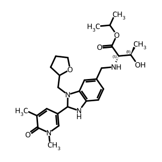 Cc1cc(C2Nc3ccc(CN[C@H](C(=O)OC(C)C)[C@@H](C)O)cc3N2CC2CCCO2)cn(C)c1=O